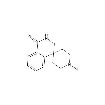 O=C1NCC2(CCN(I)CC2)c2ccccc21